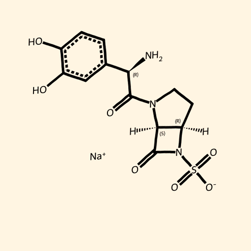 N[C@@H](C(=O)N1CC[C@@H]2[C@H]1C(=O)N2S(=O)(=O)[O-])c1ccc(O)c(O)c1.[Na+]